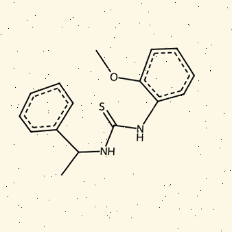 COc1ccccc1NC(=S)NC(C)c1ccccc1